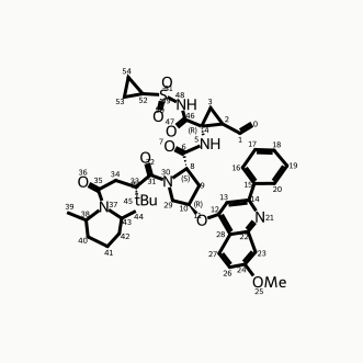 C=CC1C[C@]1(NC(=O)[C@@H]1C[C@@H](Oc2cc(-c3ccccc3)nc3cc(OC)ccc23)CN1C(=O)[C@@H](CC(=O)N1C(C)CCCC1C)C(C)(C)C)C(=O)NS(=O)(=O)C1CC1